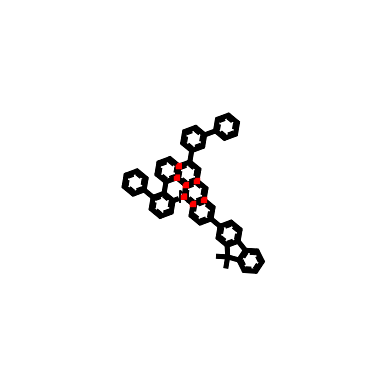 CC1(C)c2ccccc2-c2ccc(-c3ccc(N(c4ccc(-c5cccc(-c6ccccc6)c5)cc4)c4cccc(-c5ccccc5)c4-c4ccccc4-c4ccccc4)cc3)cc21